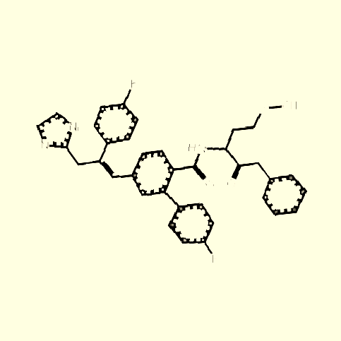 CSCCC(NC(=O)c1ccc(C=C(Cc2ncc[nH]2)c2ccc(F)cc2)cc1-c1ccc(F)cc1)C(=O)Cc1ccccc1